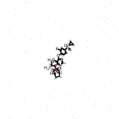 Cc1c(Oc2ccc(S(=O)(=O)C3CC3)cc2F)ncnc1O[C@H]1CC2CC[C@@H](C1)N2S(=O)(=O)CC(C)C